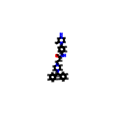 CC1CNCCN1c1ccc(NC(=O)CCN2CCN(C(c3ccccc3)c3ccccc3)CC2)cc1